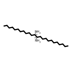 CCCCCCCCCCC[C@H](N)[C@@H](N)CCCCCCCCCCC